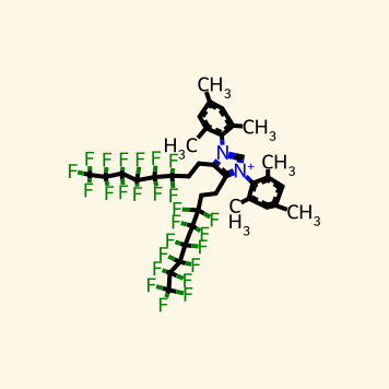 Cc1cc(C)c(-n2c[n+](-c3c(C)cc(C)cc3C)c(CCC(F)(F)C(F)(F)C(F)(F)C(F)(F)C(F)(F)C(F)(F)F)c2CCC(F)(F)C(F)(F)C(F)(F)C(F)(F)C(F)(F)C(F)(F)F)c(C)c1